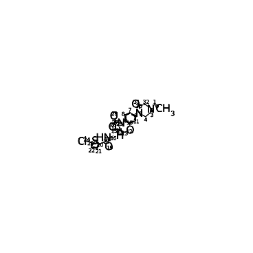 CCN1CCN(c2ccc3c(c2)OC[C@H]2[C@H](CNC(=O)c4ccc(Cl)s4)OC(=O)N32)C(=O)C1